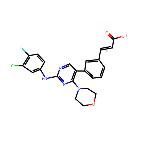 O=C(O)/C=C/c1cccc(-c2cnc(Nc3ccc(F)c(Cl)c3)nc2N2CCOCC2)c1